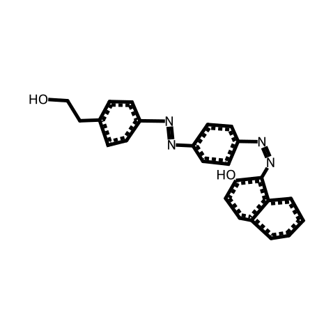 OCCc1ccc(N=Nc2ccc(/N=N\c3c(O)ccc4ccccc34)cc2)cc1